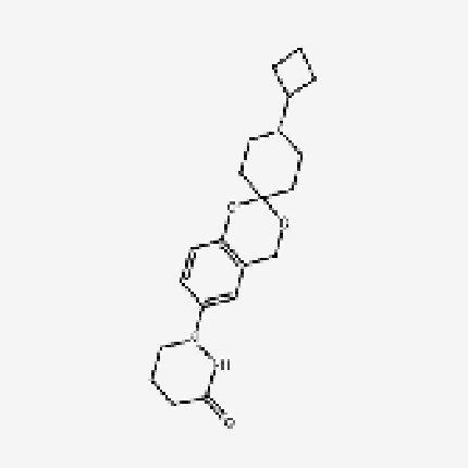 O=C1CCCN(c2ccc3c(c2)COC2(CCN(C4CCC4)CC2)O3)N1